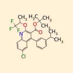 CC(C)c1cccc(-c2c(C(=O)OC(C)(C)C)c(OC(C)C(F)(F)F)nc3ccc(Cl)cc23)c1